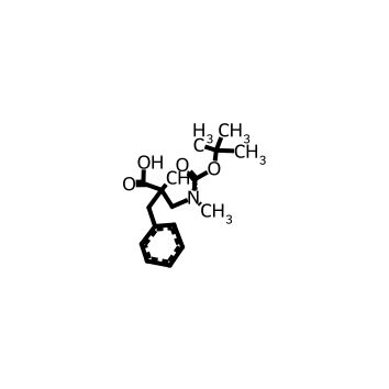 CN(CC(C)(Cc1ccccc1)C(=O)O)C(=O)OC(C)(C)C